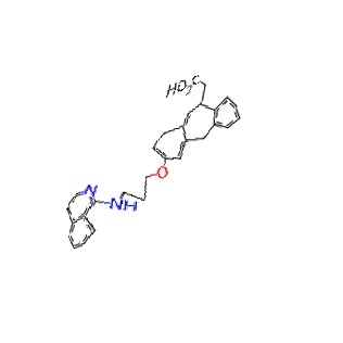 O=C(O)CC1C=C2CC=C(OCCCNc3nccc4ccccc34)C=C2Cc2ccccc21